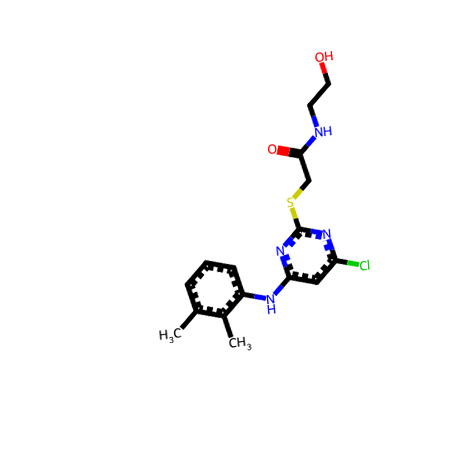 Cc1cccc(Nc2cc(Cl)nc(SCC(=O)NCCO)n2)c1C